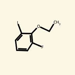 CCOc1c(F)cccc1I